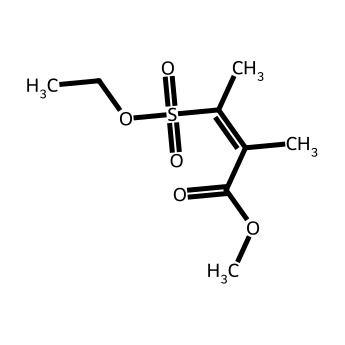 CCOS(=O)(=O)C(C)=C(C)C(=O)OC